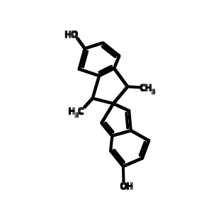 CC1c2ccc(O)cc2C(C)C12C=c1ccc(O)cc1=C2